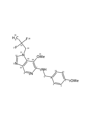 COc1ccc(CNc2ncc3ncn(CC(C)(F)F)c3c2OC)cc1